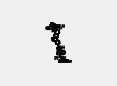 COC(=O)N[C@H](C(=O)N1CCC[C@@H]1c1ncc(-c2ccc3c(c2)COc2cc4c(cc2-3)CCc2[nH]c([C@@]3(C(C)(C)C)CCCN3C(=O)O)nc2-4)[nH]1)C(C)C